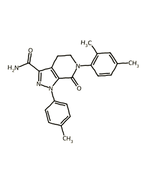 Cc1ccc(-n2nc(C(N)=O)c3c2C(=O)N(c2ccc(C)cc2C)CC3)cc1